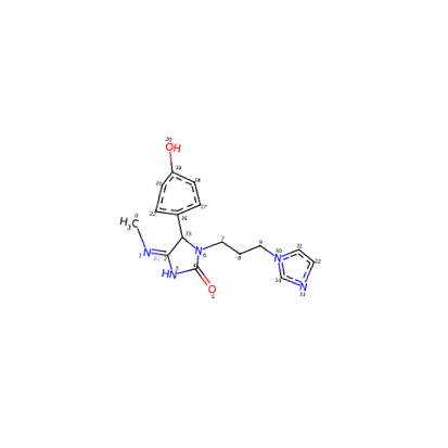 C/N=C1/NC(=O)N(CCCn2ccnc2)C1c1ccc(O)cc1